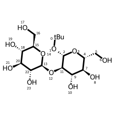 CC(C)(C)O[C@@H]1O[C@H](CO)[C@@H](O)[C@H](O)[C@H]1O[C@@H]1O[C@H](CO)[C@@H](O)[C@H](O)[C@H]1O